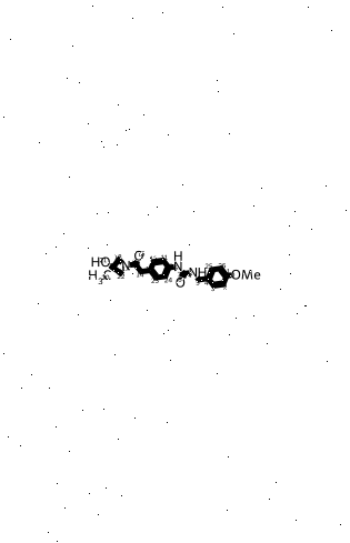 COc1ccc(CNC(=O)Nc2ccc(CC(=O)N3CC(C)(O)C3)cc2)cc1